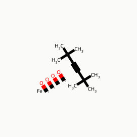 CC(C)(C)C#CC(C)(C)C.[C]=O.[C]=O.[C]=O.[C]=O.[Fe]